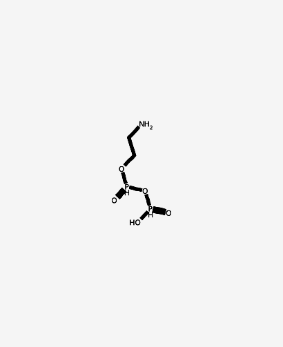 NCCO[PH](=O)O[PH](=O)O